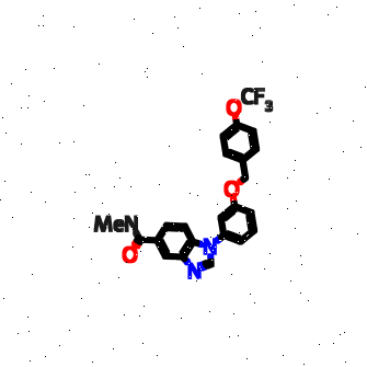 CNC(=O)c1ccc2c(c1)ncn2-c1cccc(OCc2ccc(OC(F)(F)F)cc2)c1